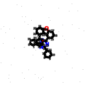 C1=CC(c2nc(-c3ccccc3)nc(-c3cccc4oc5cccc(-c6ccccc6)c5c34)n2)C=C1